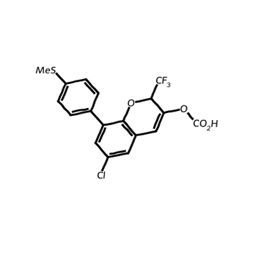 CSc1ccc(-c2cc(Cl)cc3c2OC(C(F)(F)F)C(OC(=O)O)=C3)cc1